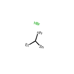 Br.CCC[CH]([Zn])CC